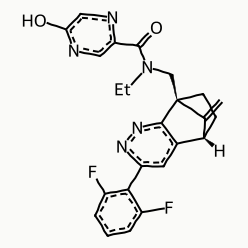 C=C1[C@@H]2CC[C@@]1(CN(CC)C(=O)c1cnc(O)cn1)c1nnc(-c3c(F)cccc3F)cc12